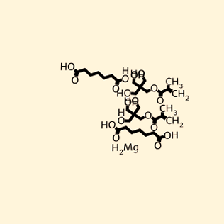 C=C(C)C(=O)OCC(CO)(CO)CO.C=C(C)C(=O)OCC(CO)(CO)CO.O=C(O)CCCCCC(=O)O.O=C(O)CCCCCC(=O)O.[MgH2]